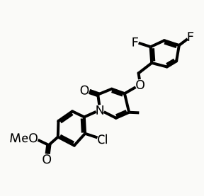 COC(=O)c1ccc(-n2cc(C)c(OCc3ccc(F)cc3F)cc2=O)c(Cl)c1